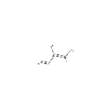 C=C/C(C)=N/C